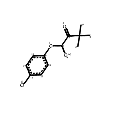 CC(C)(C)C(=O)C(O)Oc1ccc(Cl)cc1